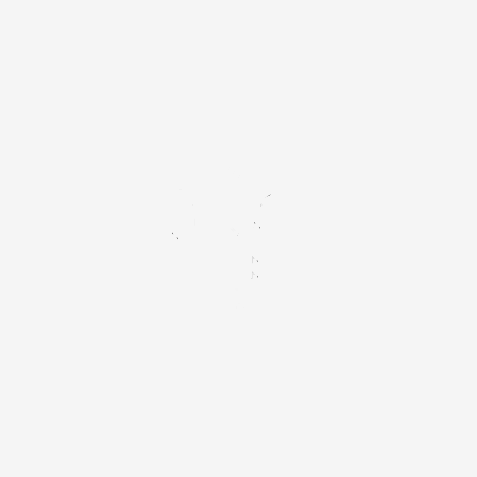 C[C@@H](NC(=O)c1ccc(=O)n(-c2ccccc2F)n1)c1cccc(C(F)(F)CN=O)c1